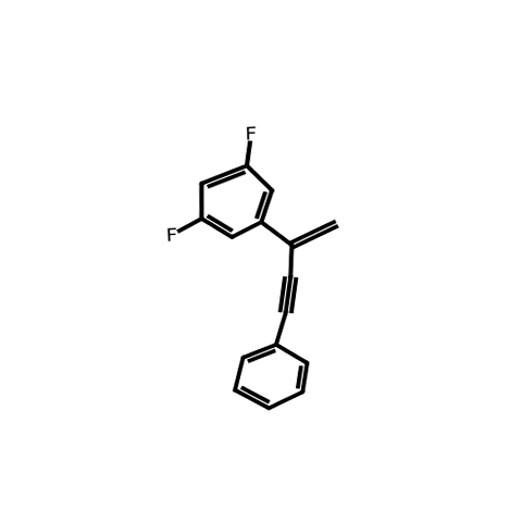 C=C(C#Cc1ccccc1)c1cc(F)cc(F)c1